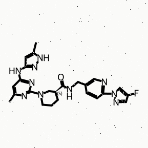 Cc1cc(Nc2cc(C)[nH]n2)nc(N2CCC[C@H](C(=O)NCc3ccc(-n4cc(F)cn4)nc3)C2)n1